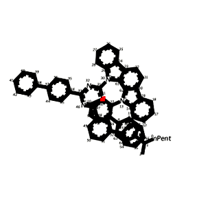 CCCCCC(C)c1ccc(-c2ccccc2-n2c3ccccc3c3ccc4c5ccccc5n(-c5nc(-c6ccc(-c7ccccc7)cc6)nc(-c6cccc(-c7ccccc7)c6)n5)c4c32)cc1